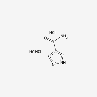 Cl.Cl.Cl.NC(=O)c1cn[nH]c1